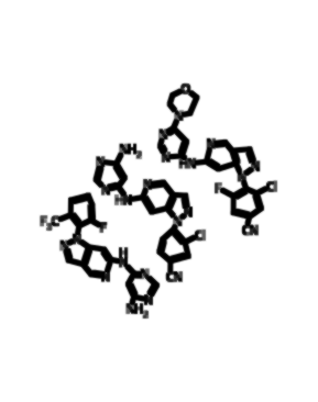 N#Cc1cc(F)c(-n2ncc3cnc(Nc4cc(N5CCOCC5)ncn4)cc32)c(Cl)c1.N#Cc1ccc(-n2ncc3cnc(Nc4cc(N)ncn4)cc32)c(Cl)c1.Nc1cc(Nc2cc3c(cn2)cnn3-c2c(F)cccc2C(F)(F)F)ncn1